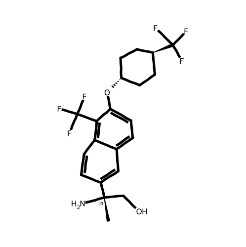 C[C@](N)(CO)c1ccc2c(C(F)(F)F)c(O[C@H]3CC[C@H](C(F)(F)F)CC3)ccc2c1